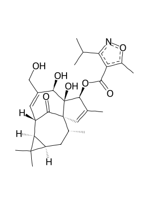 CC1=C[C@]23C(=O)[C@@H](C=C(CO)[C@@H](O)[C@]2(O)[C@H]1OC(=O)c1c(C(C)C)noc1C)[C@H]1[C@@H](C[C@H]3C)C1(C)C